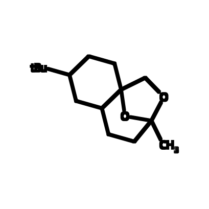 CC12CCC3CC(C(C)(C)C)CCC3(CO1)O2